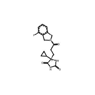 O=C1NC(=O)[C@](CCC(=O)N2Cc3cccc(F)c3C2)(C2CC2)N1